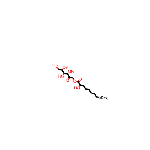 CCCCCCCCCCCCCCCCC(O)C(=O)OCC(=O)[C@H](O)[C@@H](O)[C@H](O)CO